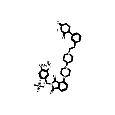 CCOc1cc([C@@H](CS(C)(=O)=O)N2C(=O)c3cccc(N4CCN(C5CCN(CCc6cccc(C7CCC(=O)NC7=O)c6)CC5)CC4)c3C2=O)ccc1OC